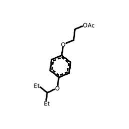 CCC(CC)Oc1ccc(OCCOC(C)=O)cc1